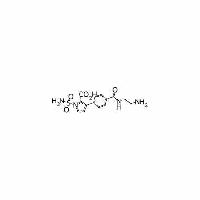 NCCNC(=O)c1ccc(-c2ccn(S(N)(=O)=O)c2C(=O)O)cc1